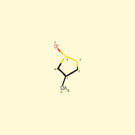 CC1CS[S+]([O-])C1